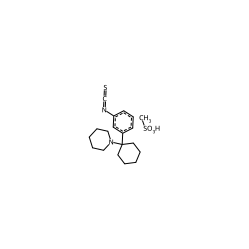 CS(=O)(=O)O.S=C=Nc1cccc(C2(N3CCCCC3)CCCCC2)c1